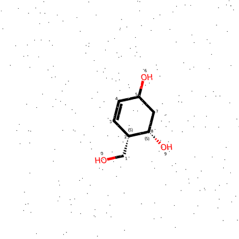 OC[C@@H]1C=CC(O)C[C@@H]1O